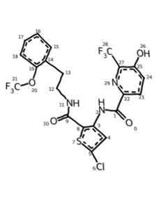 O=C(Nc1cc(Cl)sc1C(=O)NCCc1ccccc1OC(F)(F)F)c1ccc(O)c(C(F)(F)F)n1